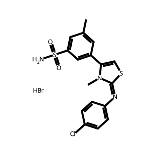 Br.Cc1cc(-c2csc(=Nc3ccc(Cl)cc3)n2C)cc(S(N)(=O)=O)c1